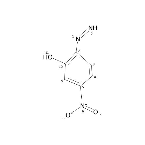 N=Nc1ccc([N+](=O)[O-])cc1O